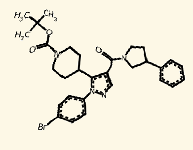 CC(C)(C)OC(=O)N1CCC(c2c(C(=O)N3CCC(c4ccccc4)C3)cnn2-c2ccc(Br)cc2)CC1